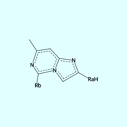 Cc1cc2n[c]([RaH])cn2[c]([Rb])n1